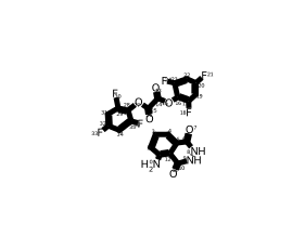 Nc1cccc2c(=O)[nH][nH]c(=O)c12.O=C(Oc1c(F)cc(F)cc1F)C(=O)Oc1c(F)cc(F)cc1F